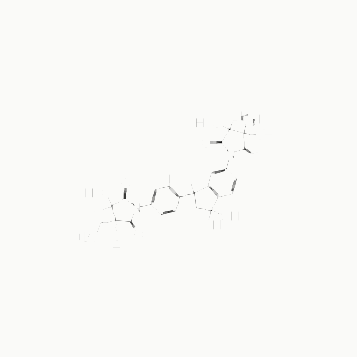 CC(C)(C)CC1(C)C(=O)N(c2ccc(C3(C)CC(C)(C)c4ccc(N5C(=O)C(C)(C)C(C)(C)C5=O)cc43)cc2)C(=O)C1(C)C